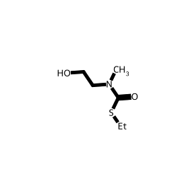 CCSC(=O)N(C)CCO